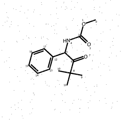 COC(=O)NC(C(=O)C(C)(C)C)c1ccccc1